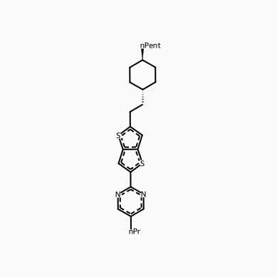 CCCCC[C@H]1CC[C@H](CCc2cc3sc(-c4ncc(CCC)cn4)cc3s2)CC1